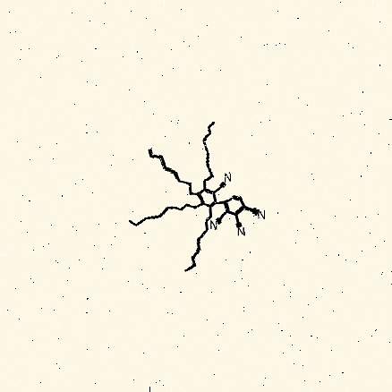 CCCCCCCCc1c(C#N)c(-c2ccc(C#N)c(C#N)c2C#N)c(CCCCCCCC)c(CCCCCCCC)c1CCCCCCCC